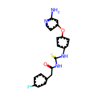 Nc1cc(Oc2ccc(NC(=S)NC(=O)Cc3ccc(F)cc3)cc2)ccn1